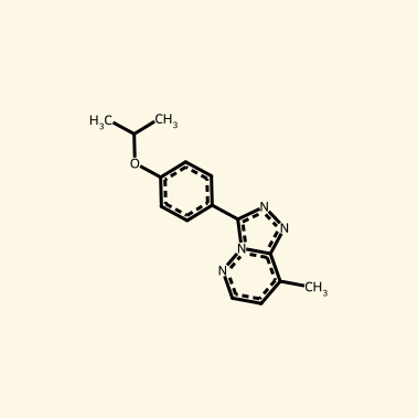 Cc1ccnn2c(-c3ccc(OC(C)C)cc3)nnc12